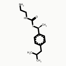 CC(C)Cc1ccc([C@H](C)SC(=O)NCCN)cc1